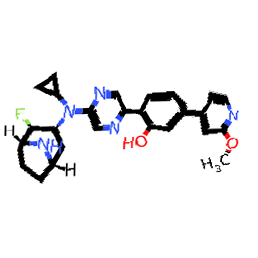 COc1cc(-c2ccc(-c3cnc(N(C4CC4)[C@H]4C[C@@H]5CC[C@@H](N5)[C@H]4F)cn3)c(O)c2)ccn1